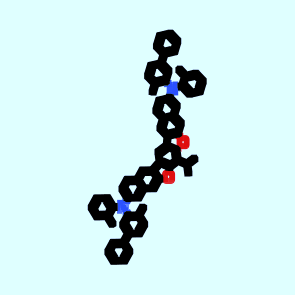 Cc1ccccc1N(c1ccc2cc3c(cc2c1)oc1c(C(C)C)c2oc4cc5cc(N(c6ccccc6C)c6cc(-c7ccccc7)ccc6C)ccc5cc4c2cc13)c1cc(-c2ccccc2)ccc1C